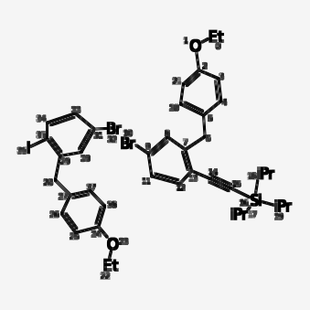 CCOc1ccc(Cc2cc(Br)ccc2C#C[Si](C(C)C)(C(C)C)C(C)C)cc1.CCOc1ccc(Cc2cc(Br)ccc2I)cc1